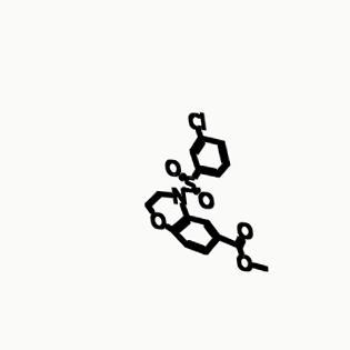 COC(=O)c1ccc2c(c1)N(S(=O)(=O)c1cccc(Cl)c1)CCO2